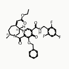 CCOC(=O)C=C1CC[C@H](C)N2C[C@H]1n1cc(C(=O)NCc3c(F)cc(F)cc3F)c(=O)c(OCc3ccccc3)c1C2=O